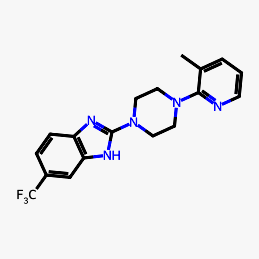 Cc1cccnc1N1CCN(c2nc3ccc(C(F)(F)F)cc3[nH]2)CC1